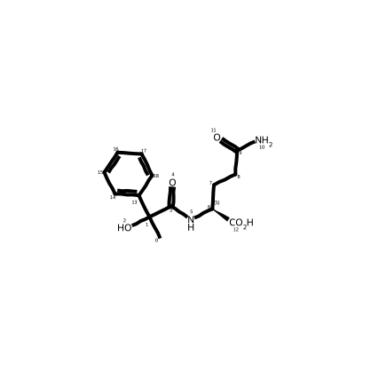 CC(O)(C(=O)N[C@@H](CCC(N)=O)C(=O)O)c1ccccc1